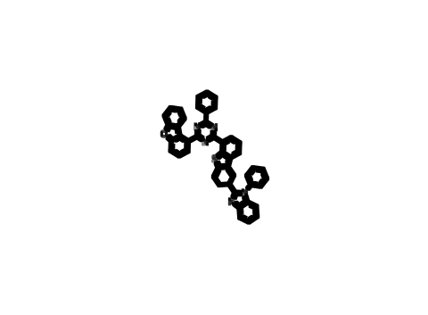 C1=c2sc3c(-c4nc(-c5ccccc5)nc(-c5cccc6oc7ccccc7c56)n4)cccc3c2=CC(c2nc3ccccc3n2-c2ccccc2)C1